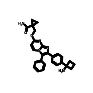 NC(=O)C1(COc2ccn3c(-c4ccccc4)c(-c4ccc(C5(N)CCC5)cc4)nc3n2)CC1